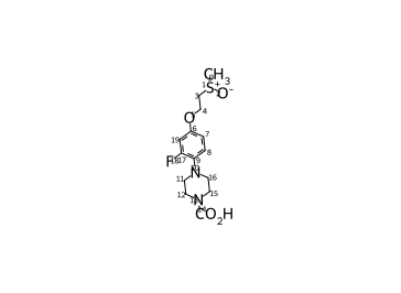 C[S+]([O-])CCOc1ccc(N2CCN(C(=O)O)CC2)c(F)c1